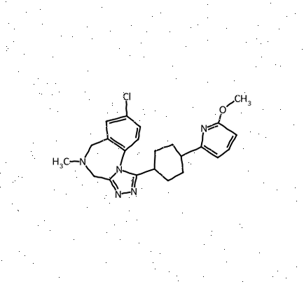 COc1cccc(C2CCC(c3nnc4n3-c3ccc(Cl)cc3CN(C)C4)CC2)n1